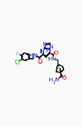 NC(=O)C12CCC(CNC(=O)c3cc(C(=O)NCc4ccc(F)c(Cl)c4)nc4ncnn34)(CC1)CC2